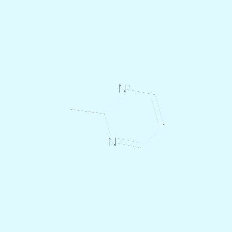 CC1=[N+]C=CC=N1